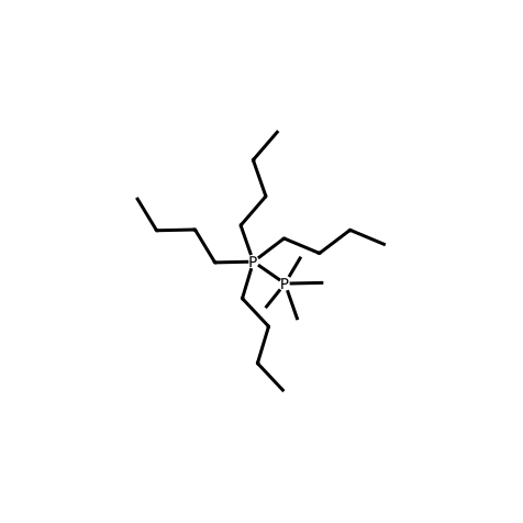 CCCCP(CCCC)(CCCC)(CCCC)P(C)(C)(C)C